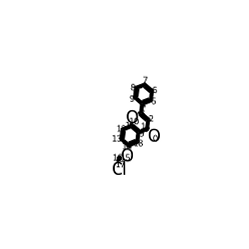 O=c1cc(-c2ccccc2)oc2ccc(OCCl)cc12